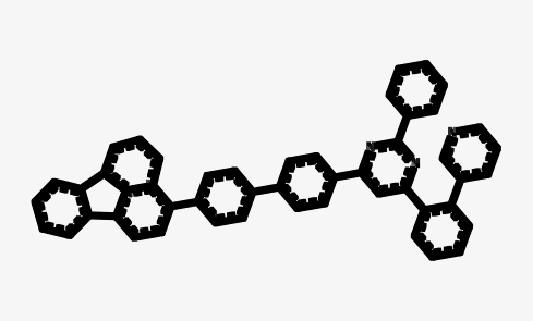 c1ccc(-c2nc(-c3ccc(-c4ccc(-c5ccc6c7c(cccc57)-c5ccccc5-6)cc4)cc3)cc(-c3ccccc3-c3cccnc3)n2)cc1